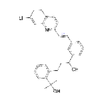 CC(C)(O)c1ccccc1CCC(O)c1cccc(/C=C/c2ccc3c(n2)C=C(Cl)CC3)c1